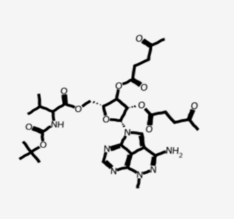 CC(=O)CCC(=O)OC1[C@@H](COC(=O)C(NC(=O)OC(C)(C)C)C(C)C)O[C@@H](n2cc3c4c(ncnc42)N(C)N=C3N)[C@H]1OC(=O)CCC(C)=O